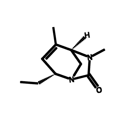 CC[C@@H]1C=C(C)[C@@H]2CN1C(=O)N2C